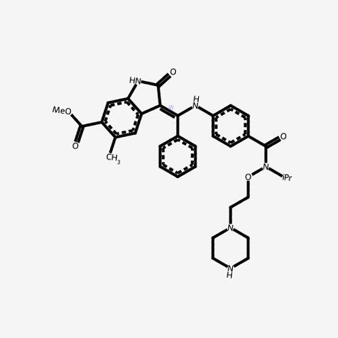 COC(=O)c1cc2c(cc1C)/C(=C(/Nc1ccc(C(=O)N(OCCN3CCNCC3)C(C)C)cc1)c1ccccc1)C(=O)N2